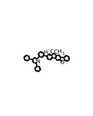 CC1(C)c2cc(-c3cccc(-c4cc(-c5ccccc5)cc(-c5ccccc5)n4)c3)ccc2-c2cc3oc4ccccc4c3cc21